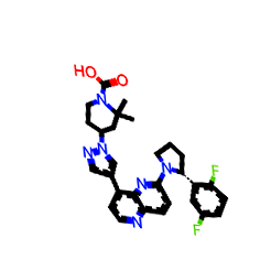 CC1(C)CC(n2cc(-c3ccnc4ccc(N5CCC[C@@H]5c5cc(F)ccc5F)nc34)cn2)CCN1C(=O)O